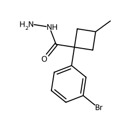 CC1CC(C(=O)NN)(c2cccc(Br)c2)C1